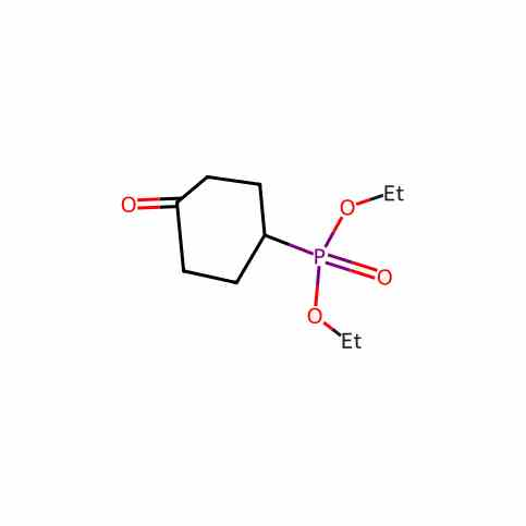 CCOP(=O)(OCC)C1CCC(=O)CC1